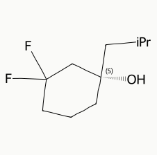 CC(C)C[C@@]1(O)CCCC(F)(F)C1